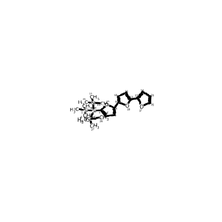 C[Si](C)(C)[Si](c1ccc(-c2ccc(-c3ccco3)o2)o1)([Si](C)(C)C)[Si](C)(C)C